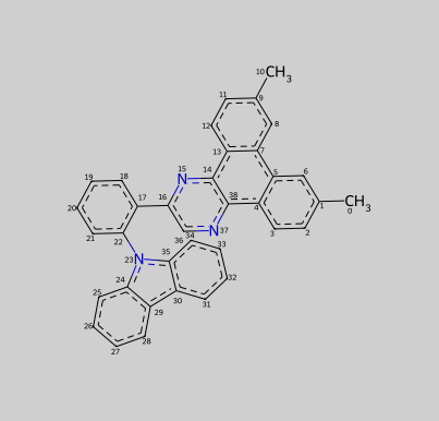 Cc1ccc2c(c1)c1cc(C)ccc1c1nc(-c3ccccc3-n3c4ccccc4c4ccccc43)cnc21